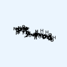 CCc1cc(N2C(=S)N(c3cnc(C#N)c(C(F)(F)F)c3)C(=O)C23CCC3)ccc1OCCN1C[C@@H]2CC[C@H]1CN2CC(=O)Nc1cccc(NC2CCC(=O)NC2=O)c1